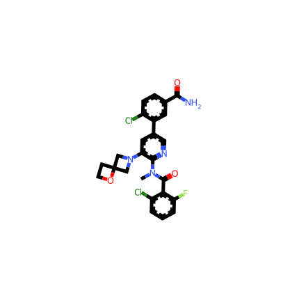 CN(C(=O)c1c(F)cccc1Cl)c1ncc(-c2cc(C(N)=O)ccc2Cl)cc1N1CC2(CCO2)C1